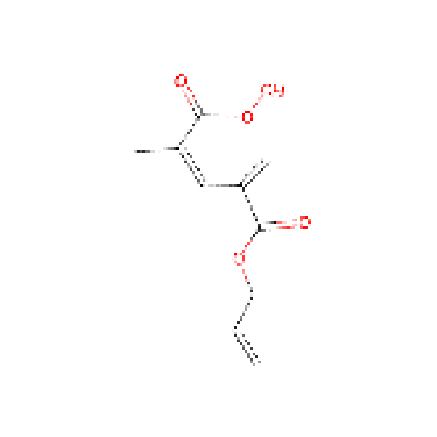 C=CCOC(=O)C(=C)C=C(C)C(=O)OO